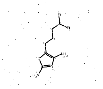 CCC(CC)CCCc1sc([N+](=O)[O-])nc1N